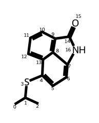 CC(C)Sc1ccc2c3c(cccc13)C(=O)N2